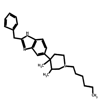 CCCCCCN1CCC(C)(c2ccc3[nH]c(Cc4ccccc4)nc3c2)C(C)C1